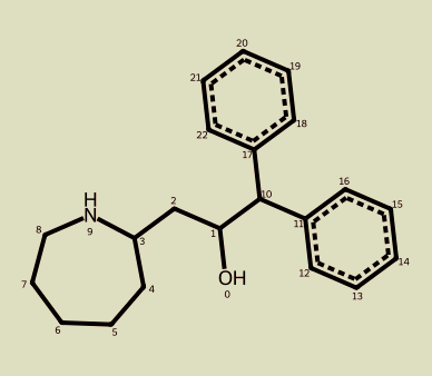 OC(CC1CCCCCN1)C(c1ccccc1)c1ccccc1